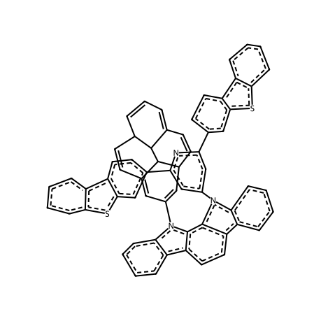 C1=CC2C=CC3=CC(n4c5ccccc5c5ccc6c7ccccc7n(-c7cc(-c8ccc9c(c8)sc8ccccc89)nc(-c8ccc9c(c8)sc8ccccc89)c7)c6c54)=CC4C=CC(=C1)C2C34